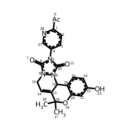 CC(=O)c1ccc(-n2c(=O)n3n(c2=O)C2C(=CC3)C(C)(C)Oc3cc(O)ccc32)cn1